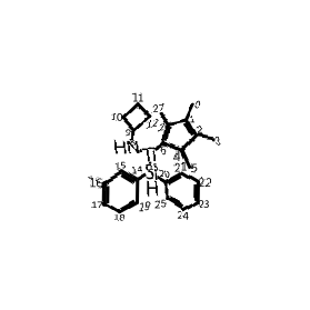 CC1=C(C)C(C)[C]([Ti]([NH]C2CCC2)[SiH](c2ccccc2)c2ccccc2)=C1C